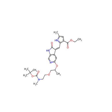 CCOC(=O)c1cc(C)[nH]c1/C=C1\C(=O)Nc2cnc(OC(C)COCCN(C)C(=O)OC(C)(C)C)cc21